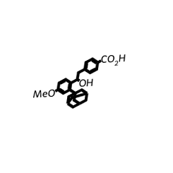 COc1ccc(C(O)Cc2ccc(C(=O)O)cc2)c(C23CC4CC(CC(C4)C2)C3)c1